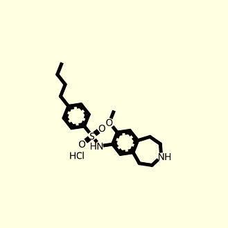 CCCCc1ccc(S(=O)(=O)Nc2cc3c(cc2OC)CCNCC3)cc1.Cl